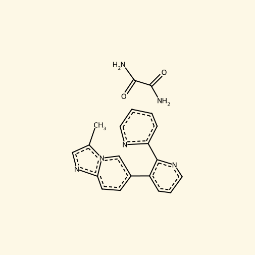 Cc1cnc2ccc(-c3cccnc3-c3ccccn3)cn12.NC(=O)C(N)=O